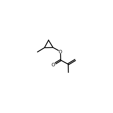 C=C(C)C(=O)OC1CC1C